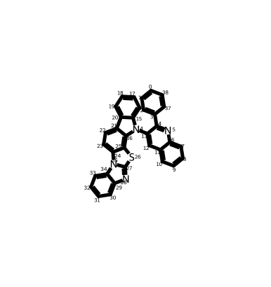 c1ccc(-c2nc3ccccc3cc2-n2c3ccccc3c3ccc4c(sc5nc6ccccc6n54)c32)cc1